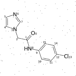 O=C(Cn1ccnc1)Nc1ccc(Cl)cc1